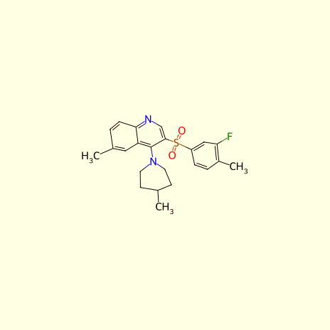 Cc1ccc2ncc(S(=O)(=O)c3ccc(C)c(F)c3)c(N3CCC(C)CC3)c2c1